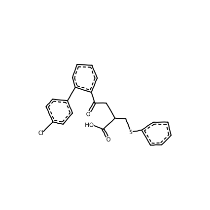 O=C(CC(CSc1ccccc1)C(=O)O)c1ccccc1-c1ccc(Cl)cc1